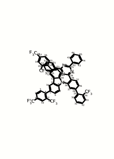 FC(F)(F)c1ccc(-c2ccc3c(c2)c2cc(-c4ccc(C(F)(F)F)cc4C(F)(F)F)ccc2n3-c2cc(-c3ccccc3C(F)(F)F)ccc2-c2nc(-c3ccccc3)nc(-c3ccccc3)n2)c(C(F)(F)F)c1